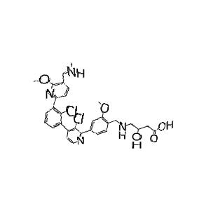 CNCc1ccc(-c2cccc(-c3ccnc(-c4ccc(CNCC(O)CC(=O)O)c(OC)c4)c3Cl)c2Cl)nc1OC